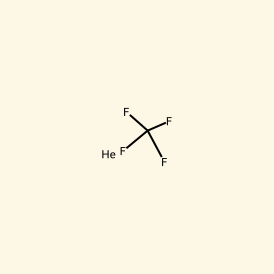 FC(F)(F)F.[He]